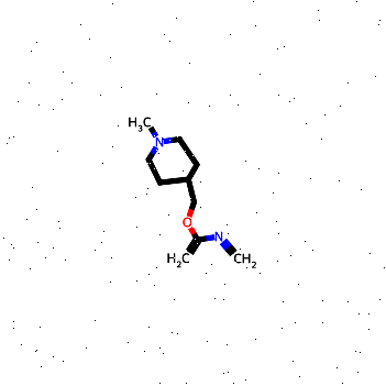 C=NC(=C)OCC1CCN(C)CC1